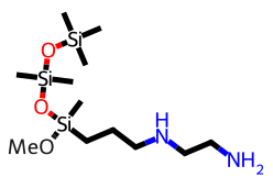 CO[Si](C)(CCCNCCN)O[Si](C)(C)O[Si](C)(C)C